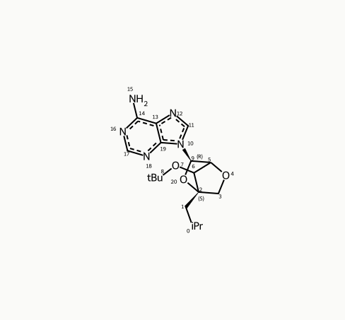 CC(C)C[C@]12COC(C1OC(C)(C)C)[C@H](n1cnc3c(N)ncnc31)O2